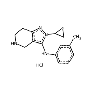 Cc1cccc(Nc2c3c(nn2C2CC2)CCNC3)c1.Cl